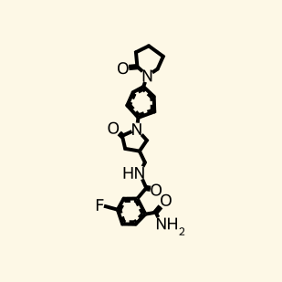 NC(=O)c1ccc(F)cc1C(=O)NCC1CC(=O)N(c2ccc(N3CCCCC3=O)cc2)C1